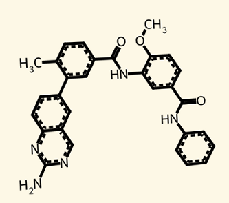 COc1ccc(C(=O)Nc2ccccc2)cc1NC(=O)c1ccc(C)c(-c2ccc3nc(N)ncc3c2)c1